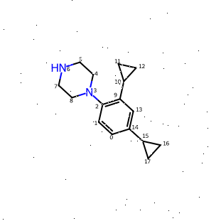 c1cc(N2CCNCC2)c(C2CC2)cc1C1CC1